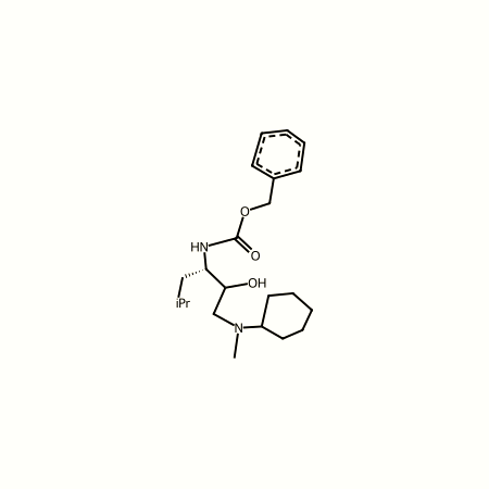 CC(C)C[C@H](NC(=O)OCc1ccccc1)C(O)CN(C)C1CCCCC1